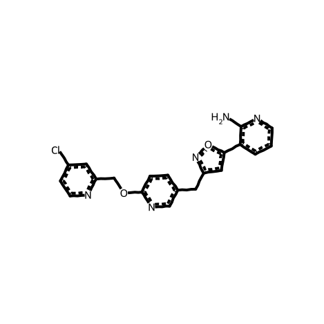 Nc1ncccc1-c1cc(Cc2ccc(OCc3cc(Cl)ccn3)nc2)no1